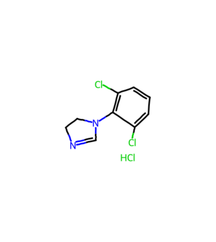 Cl.Clc1cccc(Cl)c1N1C=NCC1